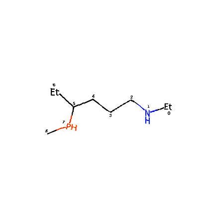 CCNCCCC(CC)PC